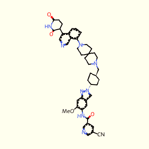 COc1cc2nn([C@H]3CC[C@H](CN4CCC5(CC4)CCN(c4cccc6c(C7CCC(=O)NC7=O)cncc46)CC5)CC3)cc2cc1NC(=O)c1cncc(C#N)c1